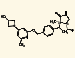 Cc1cc(N2CC(O)C2)cc(OCc2ccc(C(C)[C@@]3(C)C(=O)NC[C@@H]3CF)cc2)n1